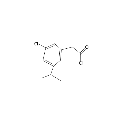 CC(C)c1cc(Cl)cc(CC(=O)Cl)c1